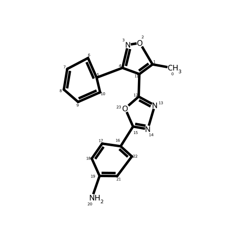 Cc1onc(-c2ccccc2)c1-c1nnc(-c2ccc(N)cc2)o1